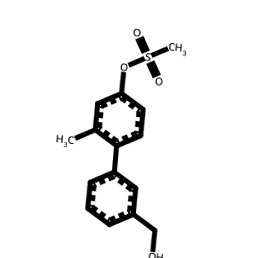 Cc1cc(OS(C)(=O)=O)ccc1-c1cccc(CO)c1